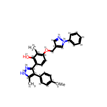 COc1ccc(-c2c(-c3ccc(OCc4cnn(-c5ccccc5)c4)c(C)c3O)n[nH]c2C)cc1